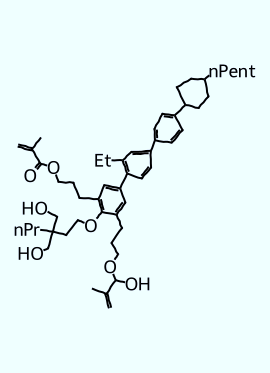 C=C(C)C(=O)OCCCc1cc(-c2ccc(-c3ccc(C4CCC(CCCCC)CC4)cc3)cc2CC)cc(CCCOC(O)C(=C)C)c1OCCC(CO)(CO)CCC